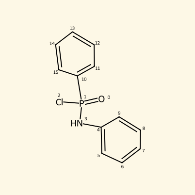 O=P(Cl)(Nc1ccccc1)c1ccccc1